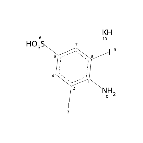 Nc1c(I)cc(S(=O)(=O)O)cc1I.[KH]